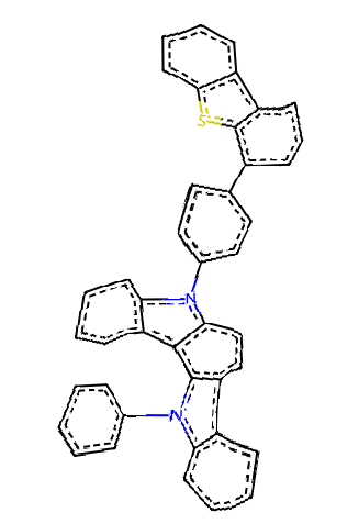 c1ccc(-n2c3ccccc3c3ccc4c(c5ccccc5n4-c4ccc(-c5cccc6c5sc5ccccc56)cc4)c32)cc1